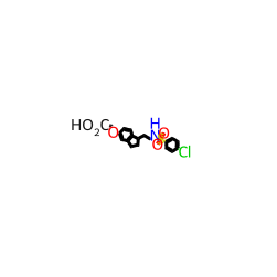 O=C(O)COc1ccc2c(c1)CCC2CCNS(=O)(=O)c1ccc(Cl)cc1